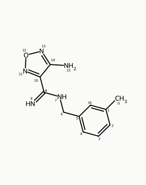 Cc1cccc(CNC(=N)c2nonc2N)c1